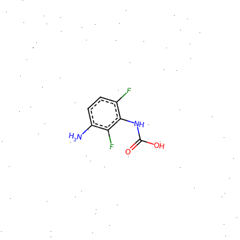 Nc1ccc(F)c(NC(=O)O)c1F